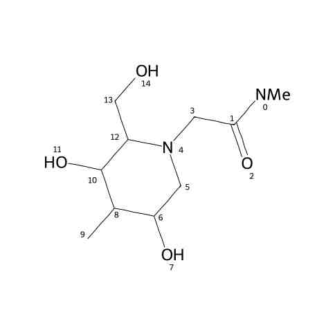 CNC(=O)CN1CC(O)C(C)C(O)C1CO